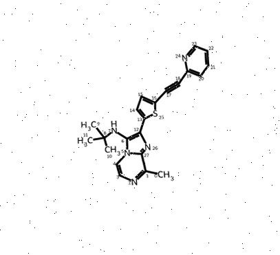 Cc1nccn2c(NC(C)(C)C)c(-c3ccc(C#Cc4ccccn4)s3)nc12